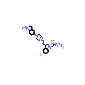 NC(=O)CN1CC(CCN2CCN(c3ccc4[nH]ccc4c3)CC2)c2cc(F)ccc21